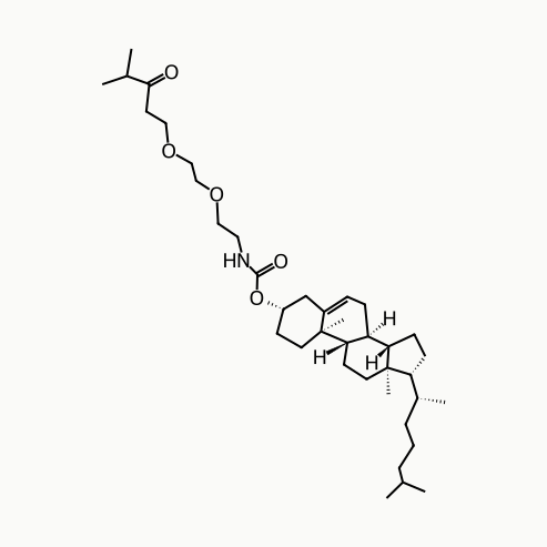 CC(C)CCC[C@@H](C)[C@H]1CC[C@H]2[C@@H]3CC=C4C[C@@H](OC(=O)NCCOCCOCCC(=O)C(C)C)CC[C@]4(C)[C@H]3CC[C@]12C